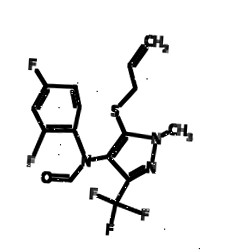 C=CCSc1c(N(C=O)c2ccc(F)cc2F)c(C(F)(F)F)nn1C